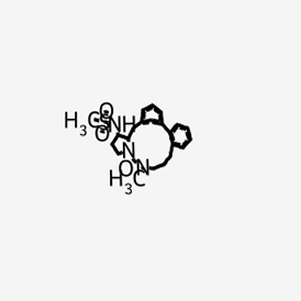 CN1CCCc2ccccc2-c2cccc(c2)CC2C(NS(C)(=O)=O)CCN2C1=O